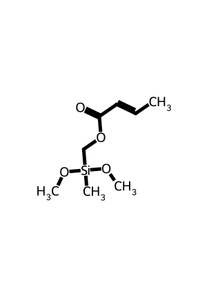 CC=CC(=O)OC[Si](C)(OC)OC